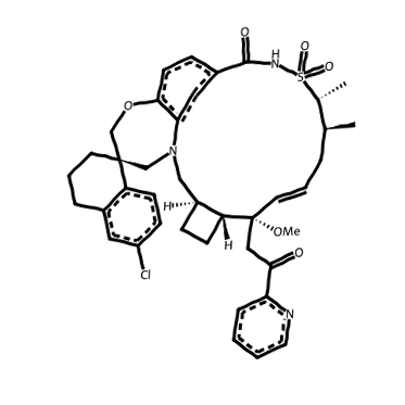 CO[C@@]1(CC(=O)c2ccccn2)/C=C/C[C@H](C)[C@@H](C)S(=O)(=O)NC(=O)c2ccc3c(c2)N(C[C@@H]2CC[C@H]21)C[C@@]1(CCCc2cc(Cl)ccc21)CO3